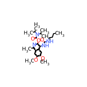 CCCCNC(=O)Nc1c(OC(=O)N(C(C)C)C(C)C)nc(C)c2cc(OC)c(OC)cc12